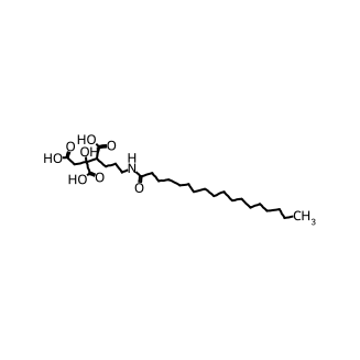 CCCCCCCCCCCCCCCCCC(=O)NCCCC(C(=O)O)C(O)(CC(=O)O)C(=O)O